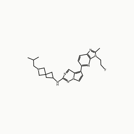 Cc1nc2ccc(-c3ccn4nc(NC5CC6(C5)CN(CC(C)C)C6)ncc34)nc2n1CCF